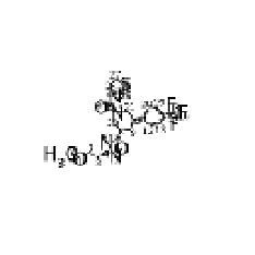 COCCc1noc(C2CC(c3ccc(C(F)(F)F)cc3)CN(C(=O)N3CCSC3)C2)n1